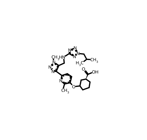 Cc1nc(-c2nnn(C)c2CNc2nnn(CC(C)C)n2)ccc1OC1CCC[C@H](C(=O)O)C1